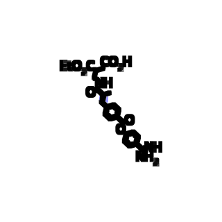 CCOC(=O)C(CNC(=O)/C(C)=C/c1ccc(C(=O)Oc2ccc(C(=N)N)cc2)cc1)CC(=O)O